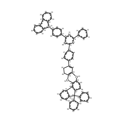 C1=C(c2ccc(-c3nc(-c4ccccc4)nc(-c4ccc(-n5c6ccccc6c6ccccc65)cc4)n3)cc2)CCC2=C1Oc1ccc3c(c1O2)-c1ccccc1C3(c1ccccc1)c1ccccc1